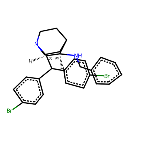 Brc1ccc(C(c2ccc(Br)cc2)[C@@H]2[C@H](NCc3ccccc3)C3CCN2CC3)cc1